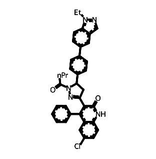 CCCC(=O)N1N=C(c2c(-c3ccccc3)c3cc(Cl)ccc3[nH]c2=O)CC1c1ccc(-c2ccc3c(cnn3CC)c2)cc1